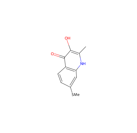 CSc1ccc2c(=O)c(O)c(C)[nH]c2c1